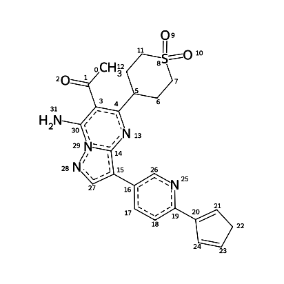 CC(=O)c1c(C2CCS(=O)(=O)CC2)nc2c(-c3ccc(C4=CCC=C4)nc3)cnn2c1N